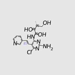 C[C@H](CO)[C@@H](O)[C@@H](O)Nc1nc(N)nc(Cl)c1/C=C/c1cccnc1